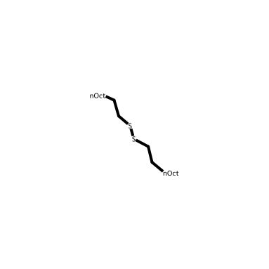 CCCCCCCCCCSSCCCCCCCCCC